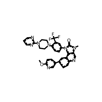 COc1ccc(-c2ccc3ncc4c(c3c2)n(-c2ccc(N3CCN(c5ncccn5)CC3)c(C(F)(F)F)c2)c(=O)n4C)cn1